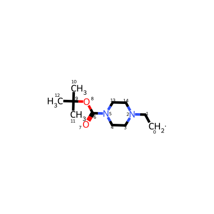 [CH2]CN1CCN(C(=O)OC(C)(C)C)CC1